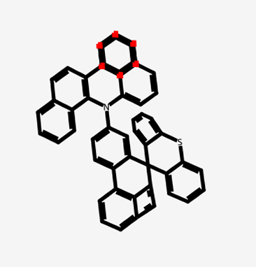 c1ccc(-c2ccc3ccccc3c2N(c2ccc3c(c2)C2(c4ccccc4Sc4ccccc42)c2cccc4cccc-3c24)c2cccc3ccccc23)cc1